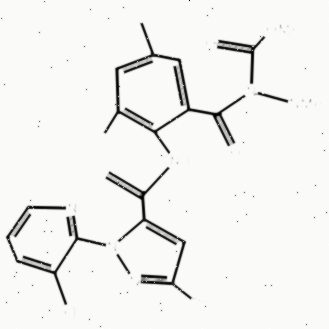 CNN(C(=O)OC)C(=O)c1cc(Cl)cc(C)c1NC(=O)c1cc(Br)nn1-c1ncccc1Cl